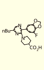 CCCCc1cnc(-c2cc(F)c3c(c2)OCO3)c(N2CCC(C(=O)O)CC2)n1